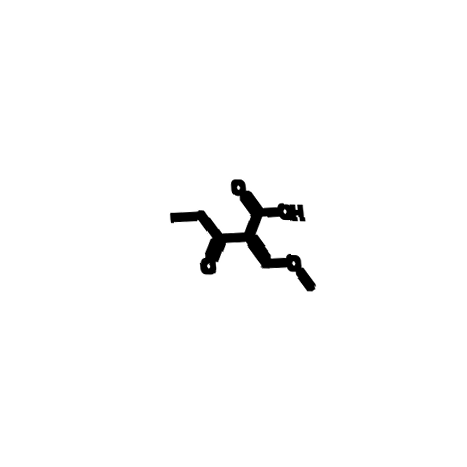 CCC(=O)C(=COC)C(=O)O